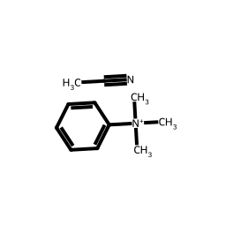 CC#N.C[N+](C)(C)c1ccccc1